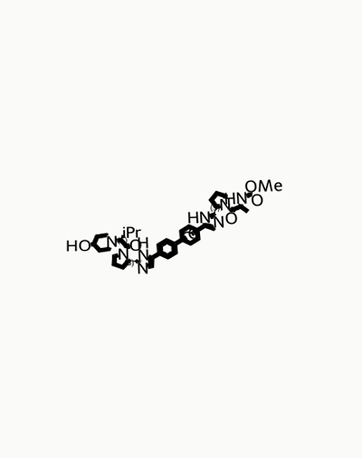 COC(=O)NC(C)C(=O)N1CCC[C@H]1c1ncc(C23CCC(c4ccc(-c5cnc([C@@H]6CCCN6C(=O)[C@H](C(C)C)N6CCC(O)CC6)[nH]5)cc4)(CC2)CC3)[nH]1